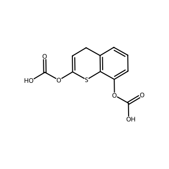 O=C(O)OC1=CCc2cccc(OC(=O)O)c2S1